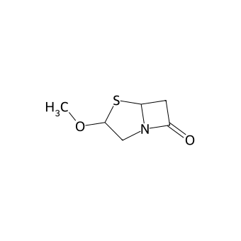 COC1CN2C(=O)CC2S1